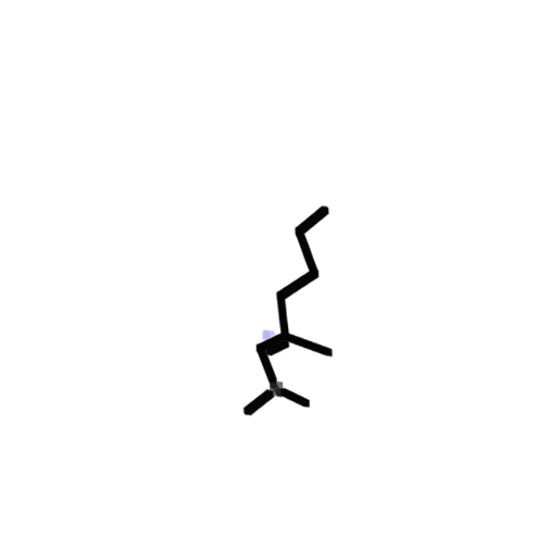 CCCC/C(C)=C/N(C)C